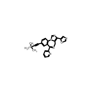 C[Si](C)(C)C#Cc1ccc2c(c1)C(c1ccccn1)=NCc1c(-c3cnco3)ncn1-2